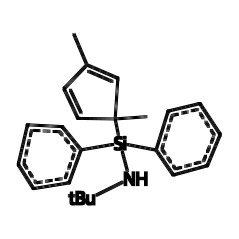 CC1=CC(C)([Si](NC(C)(C)C)(c2ccccc2)c2ccccc2)C=C1